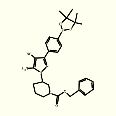 CC1(C)OB(c2ccc(-c3nn(C4CCCN(C(=O)OCc5ccccc5)C4)c(N)c3C#N)cc2)OC1(C)C